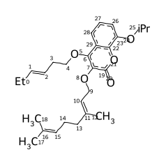 CCC=CCCOc1c(OC/C=C(\C)CCC=C(C)C)c(=O)oc2c(OC(C)C)cccc12